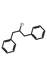 CCC(Cc1ccccc1)Cc1ccccc1